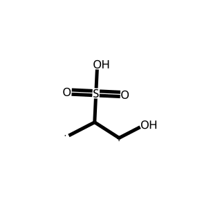 [CH2]C([CH]O)S(=O)(=O)O